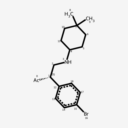 CC(=O)[C@H](CNC1CCC(C)(C)CC1)c1ccc(Br)cc1